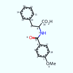 COc1ccc(C(=O)NC(Cc2ccccc2)C(=O)O)cc1